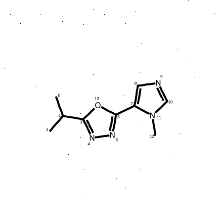 CC(C)c1nnc(-c2cncn2C)o1